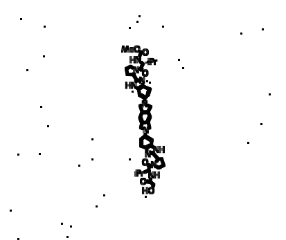 COC(=O)N[C@@H](C(=O)N1CCCC1c1nc2ccc(N3Cc4cc5c(cc4C3)CN(c3ccc4nc(C6CCCN6C(=O)C(NC(=O)CO)C(C)C)[nH]c4c3)C5)cc2[nH]1)C(C)C